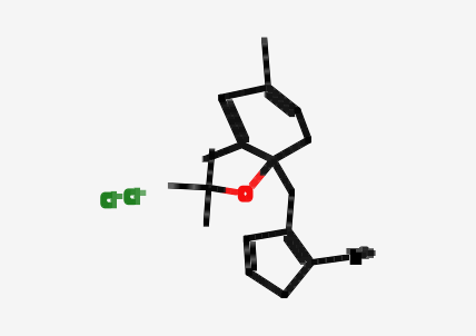 CC1=CCC(CC2=[C]([Ti+2])CC=C2)(OC(C)(C)C)C(C)=C1.[Cl-].[Cl-]